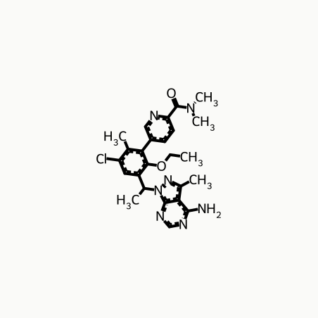 CCOc1c(C(C)n2nc(C)c3c(N)ncnc32)cc(Cl)c(C)c1-c1ccc(C(=O)N(C)C)nc1